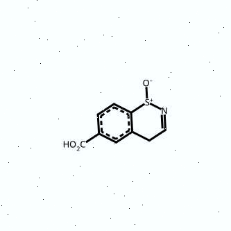 O=C(O)c1ccc2c(c1)CC=N[S+]2[O-]